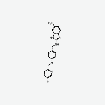 Nc1ccc2nc(NCc3ccc(OCc4ccc(Cl)cn4)cc3)[nH]c2c1